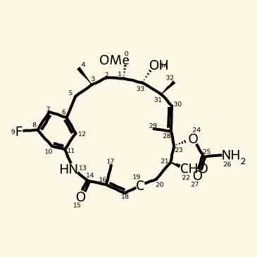 CO[C@H]1C[C@H](C)Cc2cc(F)cc(c2)NC(=O)/C(C)=C/CC[C@H](C=O)[C@@H](OC(N)=O)/C(C)=C/[C@H](C)[C@H]1O